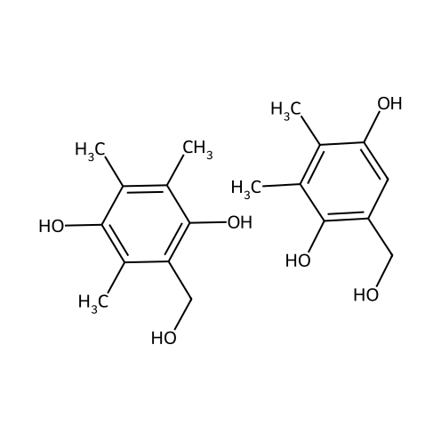 Cc1c(C)c(O)c(CO)c(C)c1O.Cc1c(O)cc(CO)c(O)c1C